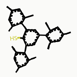 Cc1cc(C)c(-c2cc(-c3c(C)cc(C)cc3C)c(S)c(-c3c(C)cc(C)cc3C)c2)c(C)c1